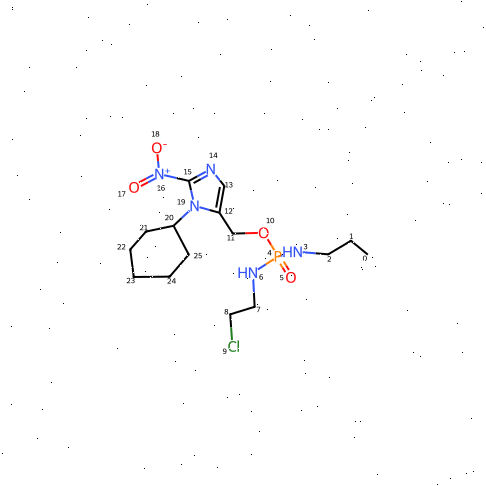 CCCNP(=O)(NCCCl)OCc1cnc([N+](=O)[O-])n1C1CCCCC1